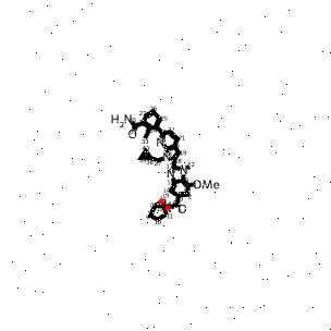 COc1cc(C(=O)N2CC3CCC2[C@@H]3C)cc2nc(-c3cc4ccc(-c5cccc(C(N)=O)c5C)nc4n3CC3CC3)n(C)c12